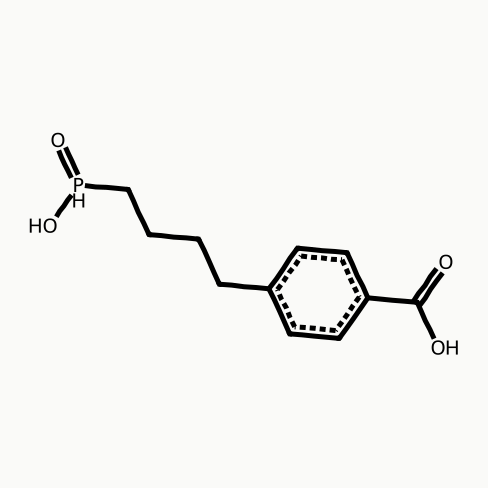 O=C(O)c1ccc(CCCC[PH](=O)O)cc1